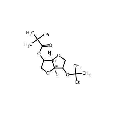 CCCC(C)(C)C(=O)OC1CO[C@@H]2C(OC(C)(C)CC)CO[C@H]12